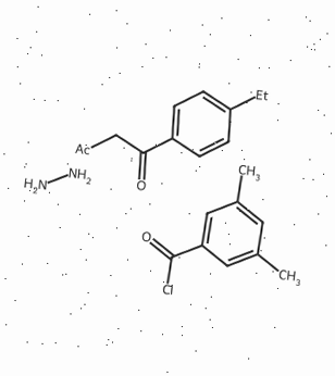 CCc1ccc(C(=O)CC(C)=O)cc1.Cc1cc(C)cc(C(=O)Cl)c1.NN